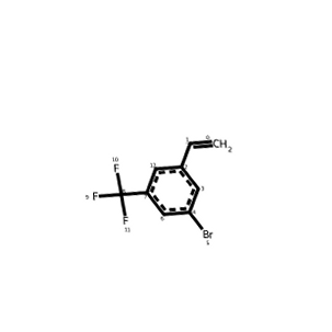 C=[C]c1cc(Br)cc(C(F)(F)F)c1